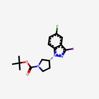 CC(C)(C)OC(=O)N1CC[C@@H](n2nc(I)c3cc(F)ccc32)C1